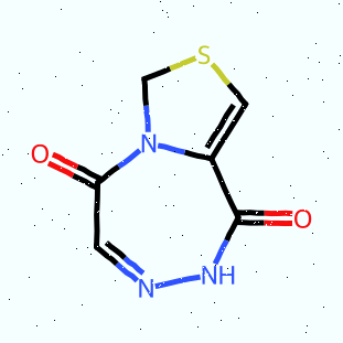 O=C1NN=CC(=O)N2CSC=C12